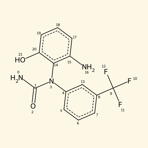 NC(=O)N(c1cccc(C(F)(F)F)c1)c1c(N)cccc1O